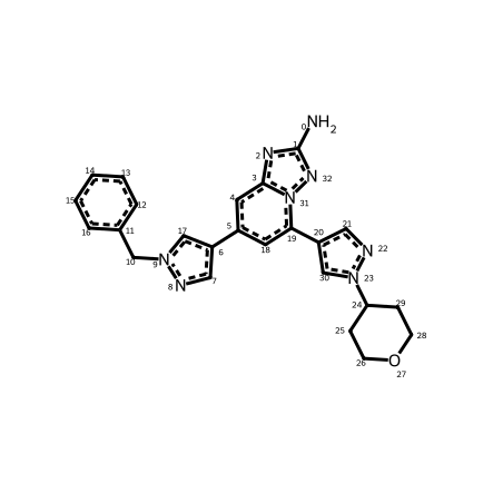 Nc1nc2cc(-c3cnn(Cc4ccccc4)c3)cc(-c3cnn(C4CCOCC4)c3)n2n1